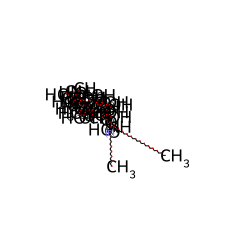 CCCCCCCCCCCCC/C=C/[C@@H](O)[C@H](CO[C@@H]1OC(CO)[C@@H](O[C@@H]2OC(CO)[C@H](O)[C@H](O[C@H]3OC(CO)[C@H](O)[C@H](O[C@@H]4OC(CO)[C@@H](O[C@@H]5OC(CO)[C@H](O)[C@H](O[C@]6(C(=O)O)CC(O)[C@@H](NC(C)=O)C([C@H](O)[C@H](O)CO)O6)C5O)[C@H](O[C@H]5OC(C)[C@@H](O)C(O)[C@@H]5O)C4NC(C)=O)C3O)C2O)[C@H](O)C1O)NC(=O)CCCCCCCCCCCCCCCCCCCCCCC